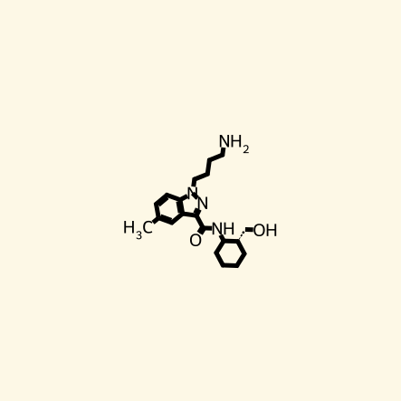 Cc1ccc2c(c1)c(C(=O)NC1CCCC[C@H]1CO)nn2CCCCN